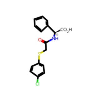 O=C(CSc1ccc(Cl)cc1)N[C@H](C(=O)O)c1ccccc1